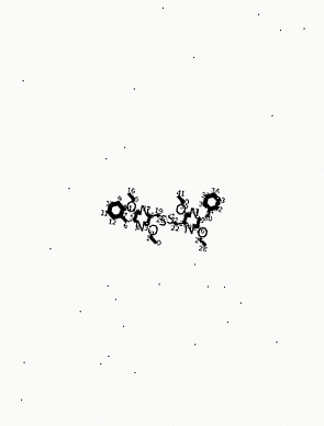 CCOC1=N[C@H](Cc2ccccc2)C(OCC)=N[C@H]1CSSC[C@@H]1N=C(OCC)[C@@H](Cc2ccccc2)N=C1OCC